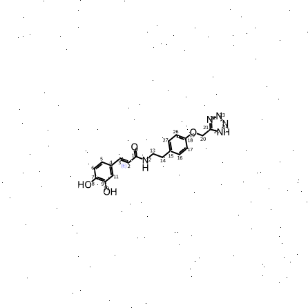 O=C(/C=C/c1ccc(O)c(O)c1)NCCc1ccc(OCc2nnn[nH]2)cc1